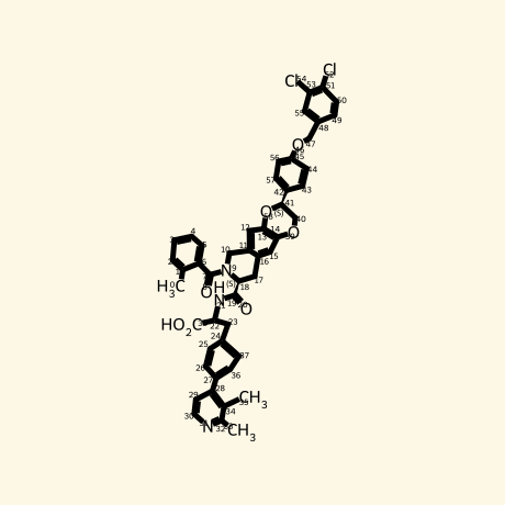 Cc1ccccc1C(=O)N1Cc2cc3c(cc2C[C@H]1C(=O)NC(Cc1ccc(-c2ccnc(C)c2C)cc1)C(=O)O)OC[C@H](c1ccc(OCc2ccc(Cl)c(Cl)c2)cc1)O3